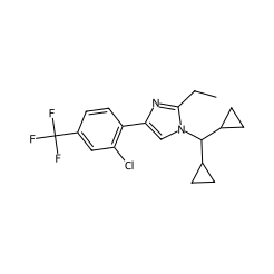 CCc1nc(-c2ccc(C(F)(F)F)cc2Cl)cn1C(C1CC1)C1CC1